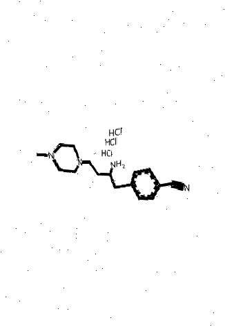 CN1CCN(CCC(N)Cc2ccc(C#N)cc2)CC1.Cl.Cl.Cl